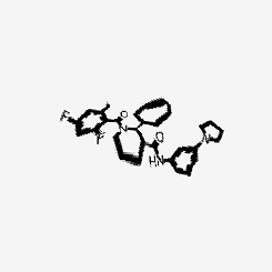 Cc1cc(F)cc(F)c1C(=O)N1CCC[C@H](C(=O)Nc2cccc(N3CCCC3)c2)[C@@H]1C1C=CC=CC1